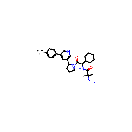 CC(C)(N)C(=O)NC(C(=O)N1CCCC1c1cncc(-c2ccc(C(F)(F)F)cc2)c1)C1CCCCC1